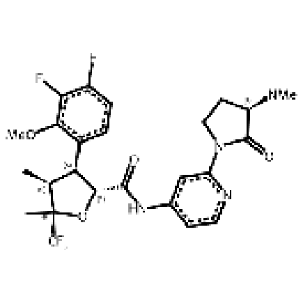 CN[C@@H]1CCN(c2cc(NC(=O)[C@@H]3O[C@@](C)(C(F)(F)F)[C@@H](C)[C@H]3c3ccc(F)c(F)c3OC)ccn2)C1=O